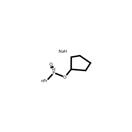 CCC[PH](=O)OC1CCCC1.[NaH]